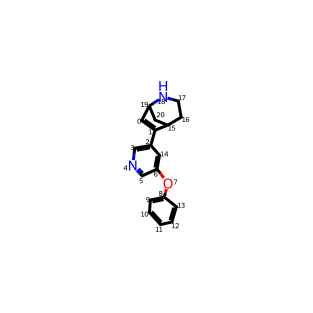 C1=C(c2cncc(Oc3ccccc3)c2)C2CCNC1C2